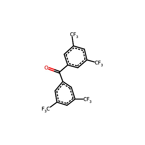 O=C(c1cc(C(F)(F)F)cc(C(F)(F)F)c1)c1cc(C(F)(F)F)cc(C(F)(F)F)c1